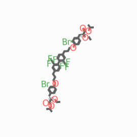 CCO[C@@H](Cc1ccc(OCCCc2ccc(-c3ccc(CCCOc4ccc(C[C@H](OCC)C(=O)OC(C)C)cc4Br)cc3C(F)(F)F)c(C(F)(F)F)c2)c(Br)c1)C(=O)OC(C)C